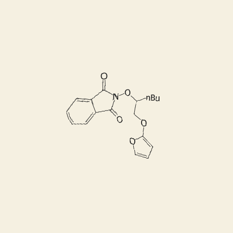 CCCCC(COc1ccco1)ON1C(=O)c2ccccc2C1=O